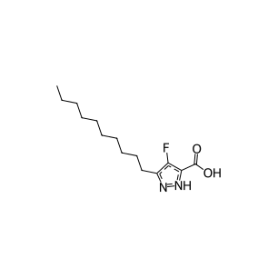 CCCCCCCCCCc1n[nH]c(C(=O)O)c1F